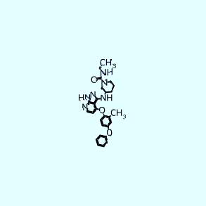 CCNC(=O)N1CCC[C@@H](Nc2n[nH]c3nccc(Oc4ccc(Oc5ccccc5)cc4C)c23)C1